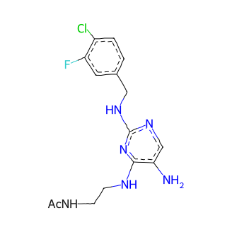 CC(=O)NCCNc1nc(NCc2ccc(Cl)c(F)c2)ncc1N